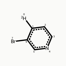 [2H]c1ccncc1Br